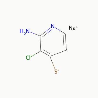 Nc1nccc([S-])c1Cl.[Na+]